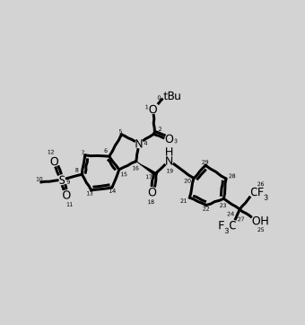 CC(C)(C)OC(=O)N1Cc2cc(S(C)(=O)=O)ccc2[C@@H]1C(=O)Nc1ccc(C(O)(C(F)(F)F)C(F)(F)F)cc1